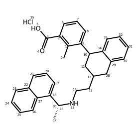 Cc1c(C(=O)O)cccc1C1CC(CCN[C@H](C)c2cccc3ccccc23)Cc2ccccc21.Cl